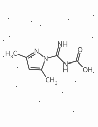 Cc1cc(C)n(C(=N)NC(=O)O)n1